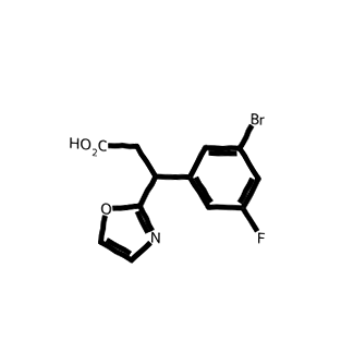 O=C(O)CC(c1cc(F)cc(Br)c1)c1ncco1